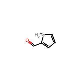 O=CC1=CC=C[TeH2]1